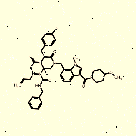 C=CCN1CC(=O)N2[C@@H](Cc3ccc(O)cc3)C(=O)N(Cc3cccc4c(C(=O)N5CCC(OC)CC5)cn(C)c34)C[C@@H]2N1C(=O)NCc1ccccc1